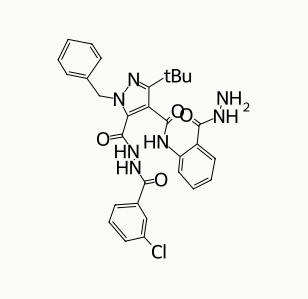 CC(C)(C)c1nn(Cc2ccccc2)c(C(=O)NNC(=O)c2cccc(Cl)c2)c1C(=O)Nc1ccccc1C(=O)NN